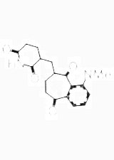 CNc1cccc2c1C(=O)C(CC1CCC(=O)NC1=O)CCC2=O